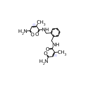 C/C(=C/C(N)=O)C(=O)NCc1ccccc1CNC(=O)/C(C)=C\C(N)=O